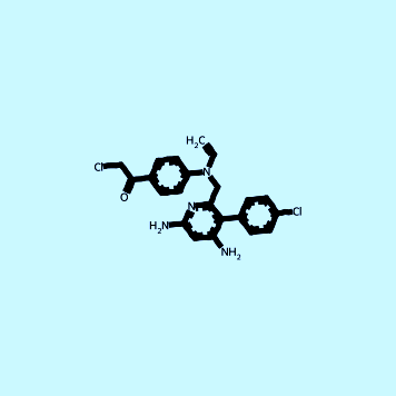 C=CN(Cc1nc(N)cc(N)c1-c1ccc(Cl)cc1)c1ccc(C(=O)CCl)cc1